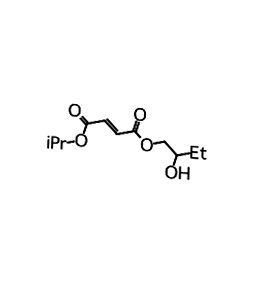 CCC(O)COC(=O)C=CC(=O)OC(C)C